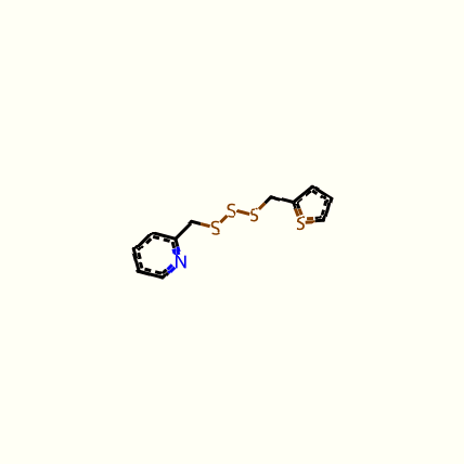 c1ccc(CSSSCc2cccs2)nc1